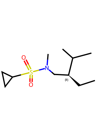 CC[C@@H](CN(C)S(=O)(=O)C1CC1)C(C)C